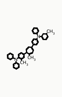 CC1=CC=C(c2ccc(N(C3=CC=CC(C)C3)c3ccccc3)cc2)C=CC1c1ccc(N(c2ccccc2)c2ccccc2)c(C)c1